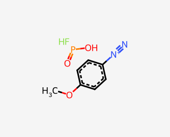 COc1ccc([N+]#N)cc1.F.O=PO